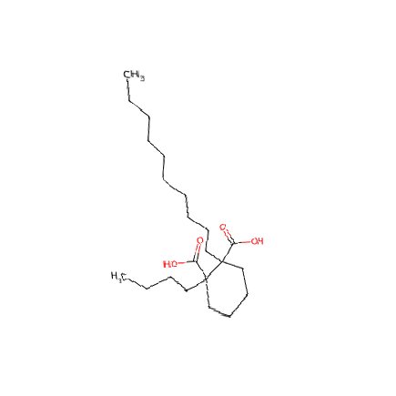 CCCCCCCCCCC1(C(=O)O)CCCCC1(CCCC)C(=O)O